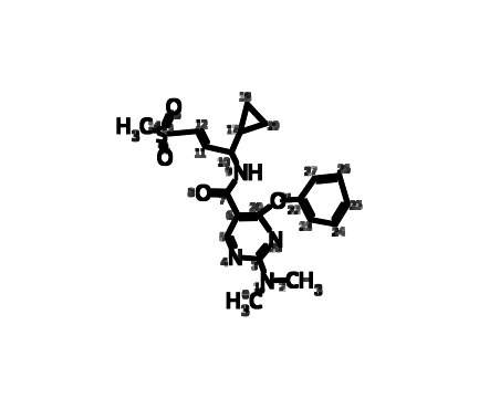 CN(C)c1ncc(C(=O)NC(C=CS(C)(=O)=O)C2CC2)c(Oc2ccccc2)n1